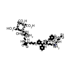 CCC(=O)NCCNC(=O)/N=C(/N)NCCC[C@@H](NC(=O)[C@@H](c1ccccc1)c1cccc(OCCCCNc2c(NCCNC(=O)[C@@H](CN)NC(C=O)N3CCN(CC(=O)O)CCN(CC(=O)O)CCN(CC(=O)O)CC3)c(=O)c2=O)c1)C(=O)NCc1ccc(O)cc1